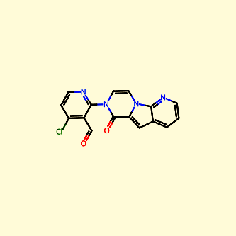 O=Cc1c(Cl)ccnc1-n1ccn2c(cc3cccnc32)c1=O